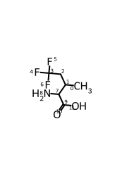 CC(CC(F)(F)F)C(N)C(=O)O